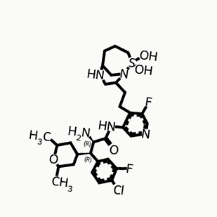 CC1CC([C@H](c2ccc(Cl)c(F)c2)[C@@H](N)C(=O)Nc2cncc(F)c2CCC2CNC3CCCS(O)(O)N2C3)CC(C)O1